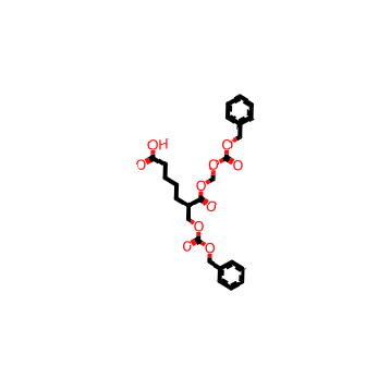 O=C(O)CCCCC(COC(=O)OCc1ccccc1)C(=O)OCOC(=O)OCc1ccccc1